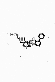 OCCNCC1=CN2ON(c3cccc(-c4ccccc4)c3Cl)C=C2N=C1